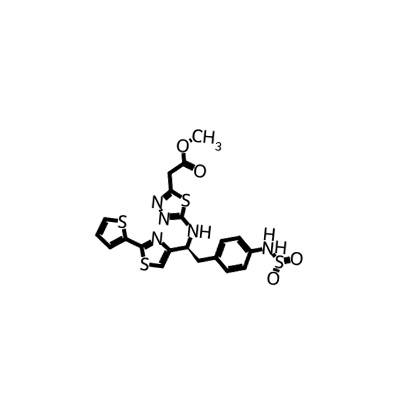 COC(=O)Cc1nnc(N[C@@H](Cc2ccc(N[SH](=O)=O)cc2)c2csc(-c3cccs3)n2)s1